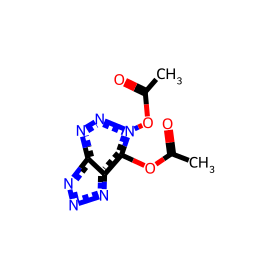 CC(=O)Oc1c2nnnc-2nnn1OC(C)=O